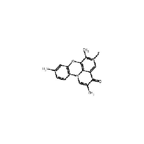 Cc1c(F)cc2c(=O)c(C)cn3c2c1Oc1cc(N)ccc1-3